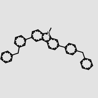 Cn1c2ccc(-c3cccc(Cc4ccccc4)c3)cc2c2ccc(-c3ccc(Cc4ccccc4)cc3)cc21